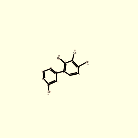 Sc1cccc(-c2ccc(Br)c(S)c2Br)c1